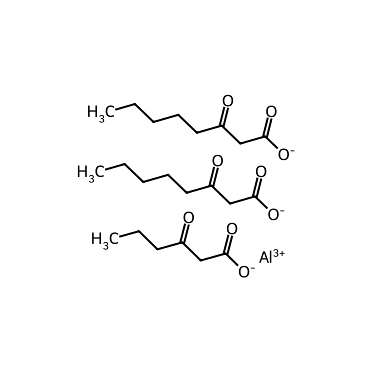 CCCC(=O)CC(=O)[O-].CCCCCC(=O)CC(=O)[O-].CCCCCC(=O)CC(=O)[O-].[Al+3]